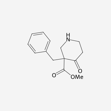 COC(=O)C1(Cc2ccccc2)CNCCC1=O